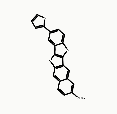 CCCCCCc1ccc2cc3sc4c5cc(-c6cccs6)ccc5sc4c3cc2c1